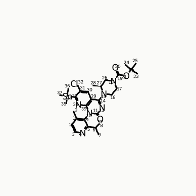 Cc1ccnc(C(C)C)c1-n1c(=O)nc(N2CCN(C(=O)OC(C)(C)C)C[C@@H]2C)c2cc(Cl)[c]([Sn]([CH3])([CH3])[CH3])nc21